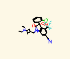 CCN(CC)C1CC(CN2C(=O)C(O)(c3ccccc3Cl)c3c2cc(C#N)cc3C(F)(F)F)C1